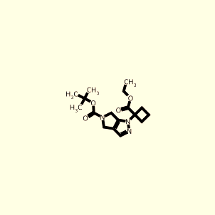 CCOC(=O)C1(n2ncc3c2CN(C(=O)OC(C)(C)C)C3)CCC1